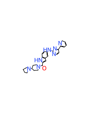 O=C(c1cc2cc(Nc3nccc(-c4ccccn4)n3)ccc2[nH]1)N1CCC(N2CCCC2)CC1